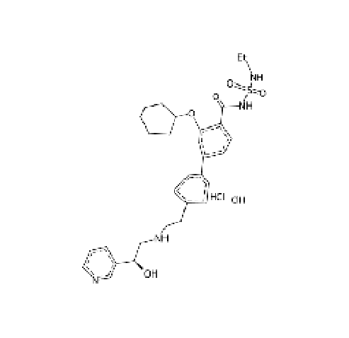 CCNS(=O)(=O)NC(=O)c1ccc(-c2ccc(CCNC[C@@H](O)c3cccnc3)cc2)cc1OC1CCCCC1.Cl.Cl